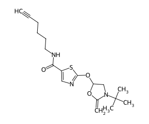 C#CCCCCNC(=O)c1cnc(OC2CN(C(C)(C)C)C(=C)O2)s1